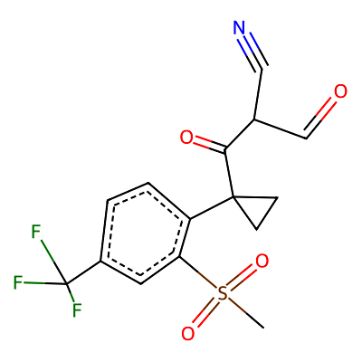 CS(=O)(=O)c1cc(C(F)(F)F)ccc1C1(C(=O)C(C#N)C=O)CC1